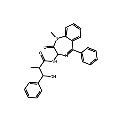 CC(C(=O)NC1N=C(c2ccccc2)c2ccccc2N(C)C1=O)C(O)c1ccccc1